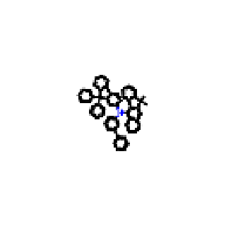 CC1(C)c2ccccc2-c2c1cc1ccccc1c2N(c1cccc(-c2ccccc2)c1)c1ccc2c(c1)C(c1ccccc1)(c1ccccc1)c1ccccc1-2